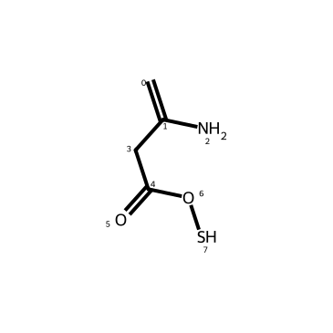 C=C(N)CC(=O)OS